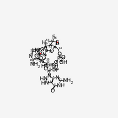 Nc1nc2c(c(=O)[nH]1)NNN2[C@@H]1O[C@@H]2COP(=O)(O)O[C@H]3[C@H](n4cnc5c(N)ncnc54)O[C@H](COP(=O)(O)O[C@H]2[C@H]1F)[C@@]31CC1(F)F